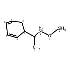 CC([SiH2]O[SiH3])C1C=CC=CC1